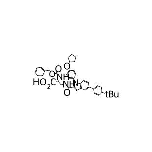 CC(C)(C)c1ccc(-c2ccc3c(c2)cc(C(=O)NCC(NC(=O)OCc2ccccc2)C(=O)O)n3-c2ccc(OC3CCCC3)cc2)cc1